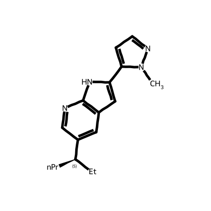 CCC[C@H](CC)c1cnc2[nH]c(-c3ccnn3C)cc2c1